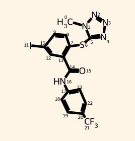 Cn1nnnc1Sc1ccc(I)cc1C(=O)Nc1ccc(C(F)(F)F)cc1